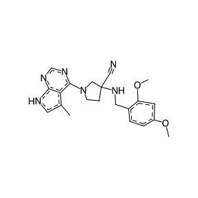 COc1ccc(CNC2(C#N)CCN(c3ncnc4[nH]cc(C)c34)C2)c(OC)c1